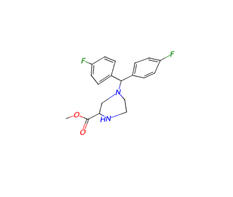 COC(=O)C1CN(C(c2ccc(F)cc2)c2ccc(F)cc2)CCN1